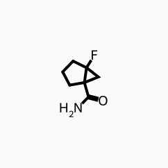 NC(=O)C12CCCC1(F)C2